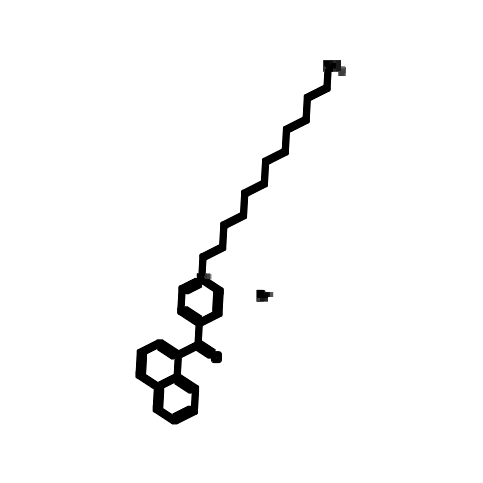 NCCCCCCCCCCCC[n+]1ccc(C(=O)c2cccc3ccccc23)cc1.[Br-]